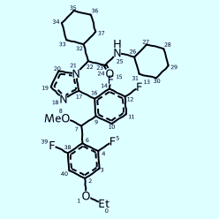 CCOc1cc(F)c(C(OC)c2ccc(F)c(F)c2-c2nccn2C(C(=O)NC2CCCCC2)C2CCCCC2)c(F)c1